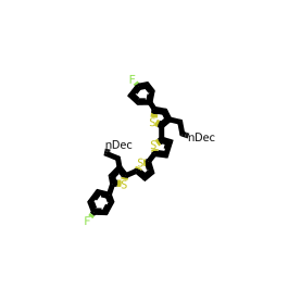 CCCCCCCCCCCCc1cc(-c2ccc(F)cc2)sc1-c1ccc(-c2ccc(-c3sc(-c4ccc(F)cc4)cc3CCCCCCCCCCCC)s2)s1